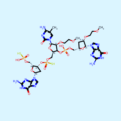 COCCO[C@H]1C[C@@H](COP(=O)(O)OC2[C@@H](COP(=O)(S)O[C@@H]3C[C@H](n4cnc5c(=O)[nH]c(N)nc54)O[C@@H]3COP(=O)(O)S)O[C@@H](n3cc(C)c(N)nc3=O)[C@H]2OCCOC)O[C@H]1n1cnc2c(=O)[nH]c(N)nc21